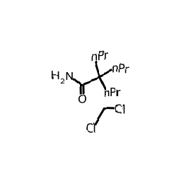 CCCC(CCC)(CCC)C(N)=O.ClCCl